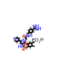 CC1C=C(CS(=O)(=O)NC(CCc2ccncc2)C(=O)NCC(=O)NCc2ccc(C(=N)N)cc2)C=CC1CC(=O)O